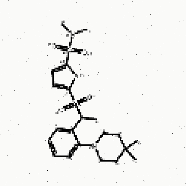 CC(c1ccccc1N1CCC(C)(C)CC1)S(=O)(=O)c1ccc(S(=O)(=O)N(C)C)s1